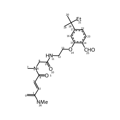 C=C(/C=C/C(=O)N(C)CC(=O)NCCOc1cc(C(C)(C)CC)ccc1C=O)NC